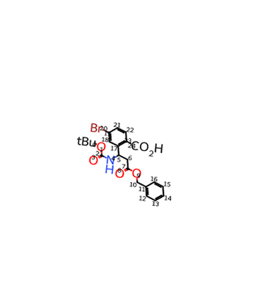 CC(C)(C)OC(=O)NC(CC(=O)OCc1ccccc1)c1cc(Br)ccc1C(=O)O